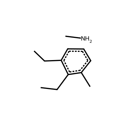 CCc1cccc(C)c1CC.CN